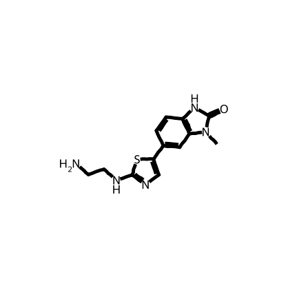 Cn1c(=O)[nH]c2ccc(-c3cnc(NCCN)s3)cc21